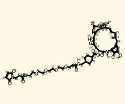 COc1cc2cc(c1Cl)N(C)C(=O)C[C@H](OC(=O)C1CCC(CNC(=O)CCOCCOCCOCCOCCNC(=O)CCN3C(=O)C=CC3=O)CC1)[C@@]1(C)O[C@H]1[C@H](C)[C@@H]1C[C@@](O)(NC(=O)O1)C(OC)/C=C/C=C(\C)C2